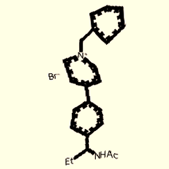 CCC(NC(C)=O)c1ccc(-c2cc[n+](Cc3ccccc3)cc2)cc1.[Br-]